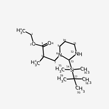 CCOC(=O)C(C)CN1CCCNC1[Si](C)(C)C(C)(C)C